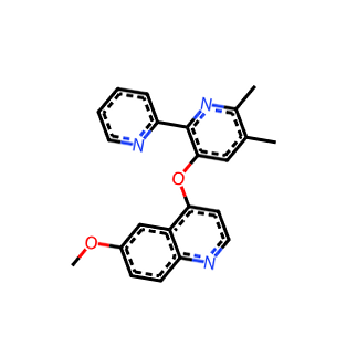 COc1ccc2nccc(Oc3cc(C)c(C)nc3-c3ccccn3)c2c1